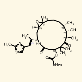 CCCCCCC(=O)O[C@H]1CC(=O)N[C@H](/C(C)=C/c2csc(C)n2)C[C@@H]2O[C@]2(C)CCC[C@H](C)[C@H](O)[C@@H](C)C(=O)C1(C)C